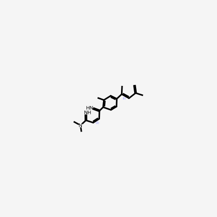 C=C(C)/C=C(\C)c1ccc(C(=N)/C=C\C(=N)N(C)C)c(C)c1